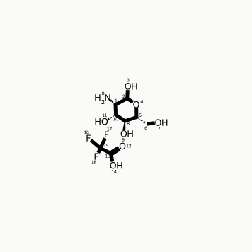 N[C@@H]1C(O)O[C@H](CO)[C@@H](O)[C@@H]1O.O=C(O)C(F)(F)F